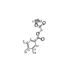 Cc1cc(C(=O)OCC(=O)OC(C)(C)C)cc(C)c1C